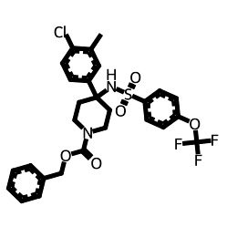 Cc1cc(C2(NS(=O)(=O)c3ccc(OC(F)(F)F)cc3)CCN(C(=O)OCc3ccccc3)CC2)ccc1Cl